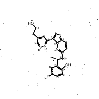 C[C@@H](Nc1ccc2ncc(-c3cc(CCO)cnn3)n2n1)c1cc(F)ccc1O